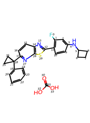 Fc1cc(NC2CCC2)ccc1-c1nc2ccc(C3(c4ccccc4)CC3)nc2s1.O=C(O)O